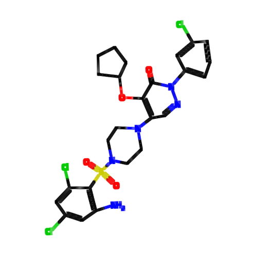 Nc1cc(Cl)cc(Cl)c1S(=O)(=O)N1CCN(c2cnn(-c3cccc(Cl)c3)c(=O)c2OC2CCCC2)CC1